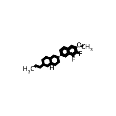 CCCC1CCC2C[C@H](c3ccc4cc(OC)c(F)c(F)c4c3)CC[C@@H]2C1